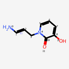 N/C=C/Cn1cccc(O)c1=O